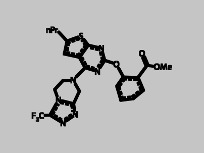 CCCc1cc2c(N3CCn4c(nnc4C(F)(F)F)C3)nc(Oc3ccccc3C(=O)OC)nc2s1